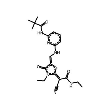 CCNC(=O)C(C#N)=c1sc(=CNc2cccc(NC(=O)C(C)(C)C)n2)c(=O)n1CC